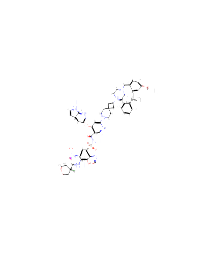 COc1ccc(CN2CCN(C3CC4(CCN(c5cc(Oc6cnc7[nH]ccc7c6)c(C(=O)NS(=O)(=O)c6cc([N+](=O)[O-])c(NCC7(F)CCOCC7)c7ocnc67)cn5)CC4)C3)[C@H](c3ccccc3C(C)C)C2)cc1